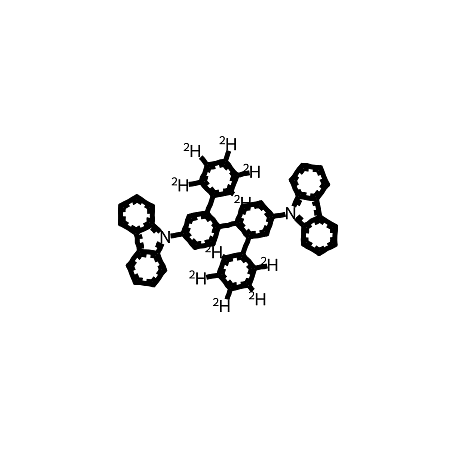 [2H]c1c([2H])c([2H])c(-c2cc(-n3c4ccccc4c4ccccc43)ccc2-c2ccc(-n3c4ccccc4c4ccccc43)cc2-c2c([2H])c([2H])c([2H])c([2H])c2[2H])c([2H])c1[2H]